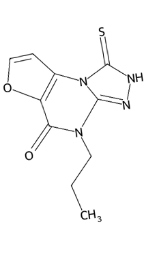 CCCn1c(=O)c2occc2n2c(=S)[nH]nc12